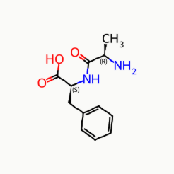 C[C@@H](N)C(=O)N[C@@H](Cc1ccccc1)C(=O)O